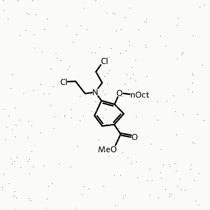 CCCCCCCCOc1cc(C(=O)OC)ccc1N(CCCl)CCCl